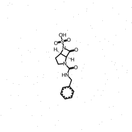 O=C(NCc1ccccc1)N1CC[C@@H]2[C@H]1C(=O)N2S(=O)(=O)O